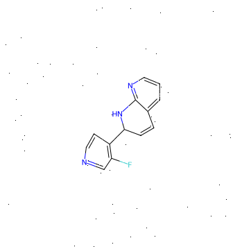 Fc1cnccc1C1C=Cc2cccnc2N1